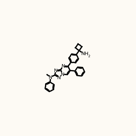 CN(c1ccccc1)c1nc2nc(-c3ccc(C4(N)CCC4)cc3)c(-c3ccccc3)cn2n1